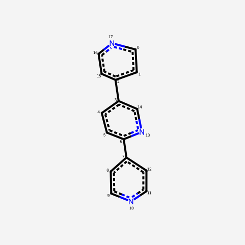 c1cc(-c2ccc(-c3ccncc3)nc2)ccn1